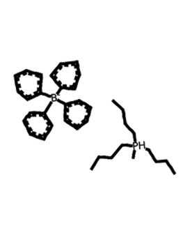 CCCC[PH](C)(CCCC)CCCC.c1ccc([B-](c2ccccc2)(c2ccccc2)c2ccccc2)cc1